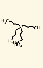 CCCC[B-](CCCC)(CCCC)CCCC.[NH4+]